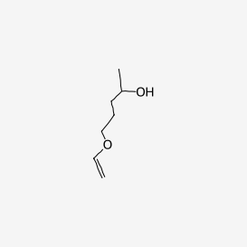 C=COCCCC(C)O